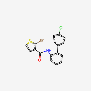 O=C(Nc1ccccc1-c1ccc(Cl)cc1)c1ccsc1Br